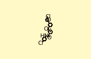 O=C(Nc1ccc(Cl)cc1)C1CCCN(C(=O)c2cccc(-c3ccc(Cl)o3)c2)C1